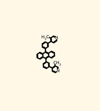 Cc1cnccc1-c1cccc(-c2c3ccccc3c(-c3cccc(-c4ccncc4C)c3)c3ccccc23)c1